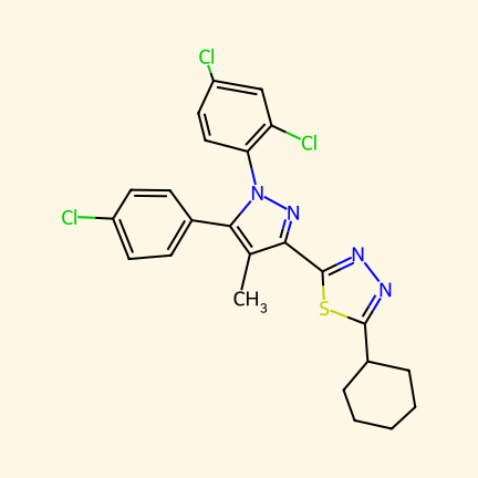 Cc1c(-c2nnc(C3CCCCC3)s2)nn(-c2ccc(Cl)cc2Cl)c1-c1ccc(Cl)cc1